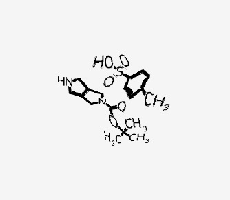 CC(C)(C)OC(=O)N1CC2=CNCC2C1.Cc1ccc(S(=O)(=O)O)cc1